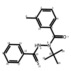 Cc1cccc(C(=O)N(NC(=S)c2ccccc2)C(C)(C)C)c1